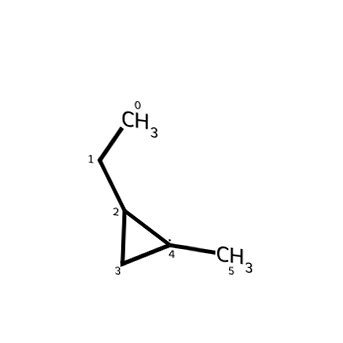 CCC1C[C]1C